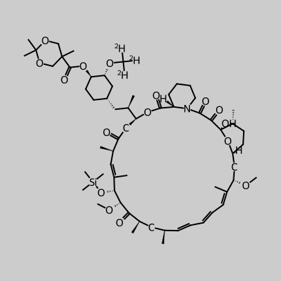 [2H]C([2H])([2H])O[C@@H]1C[C@H](C[C@@H](C)[C@@H]2CC(=O)[C@H](C)/C=C(\C)[C@@H](O[Si](C)(C)C)[C@@H](OC)C(=O)[C@H](C)C[C@H](C)/C=C/C=C/C=C(\C)[C@@H](OC)C[C@@H]3CC[C@@H](C)[C@@](O)(O3)C(=O)C(=O)N3CCCC[C@H]3C(=O)O2)CC[C@H]1OC(=O)C1(C)COC(C)(C)OC1